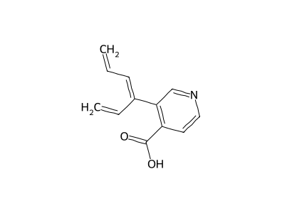 C=C/C=C(\C=C)c1cnccc1C(=O)O